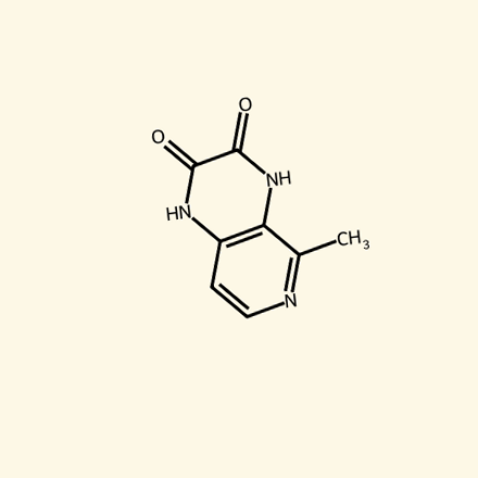 Cc1nccc2[nH]c(=O)c(=O)[nH]c12